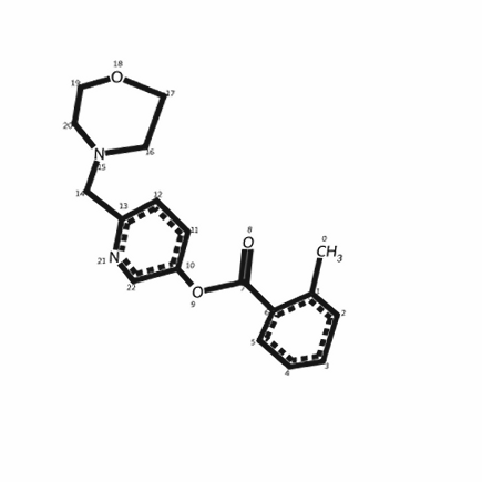 Cc1ccccc1C(=O)Oc1ccc(CN2CCOCC2)nc1